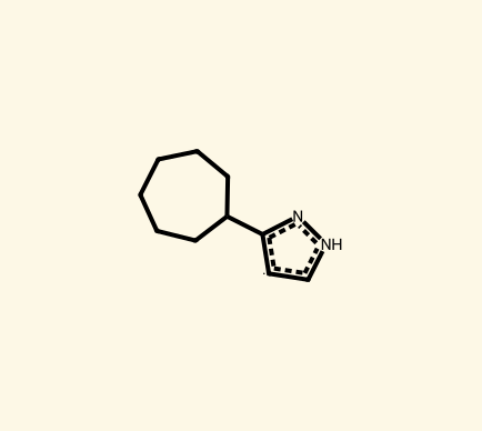 [c]1c[nH]nc1C1CCCCCC1